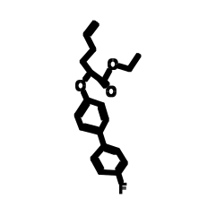 C=CCCC(Oc1ccc(-c2ccc(F)cc2)cc1)C(=O)OCC